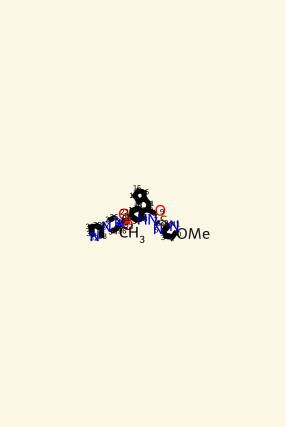 COc1ccc2nc(NC(=O)C(CC3CCCC3)c3ccc(S(=O)(=O)N4CCN(c5cccnc5)CC4C)cc3)sc2n1